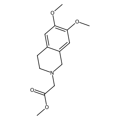 COC(=O)CN1CCc2cc(OC)c(OC)cc2C1